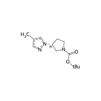 Cc1cnn([C@@H]2CCN(C(=O)OC(C)(C)C)C2)c1